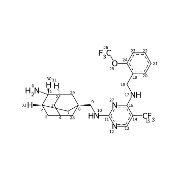 N[C@@H]1[C@@H]2CC3C[C@H]1C[C@@](CNc1ncc(C(F)(F)F)c(NCc4ccccc4OC(F)(F)F)n1)(C3)C2